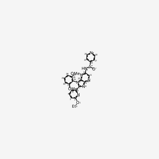 CCOc1cccc(-c2nc3ncc(N[S+]([O-])c4ccncc4)nc3n2-c2c(OC)cccc2OC)n1